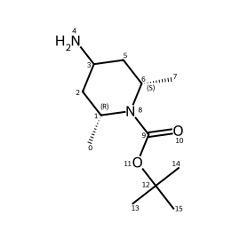 C[C@@H]1CC(N)C[C@H](C)N1C(=O)OC(C)(C)C